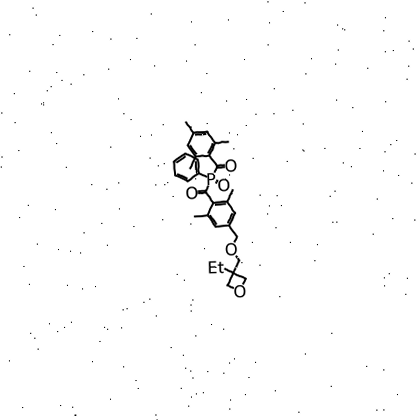 CCC1(COCc2cc(C)c(C(=O)P(=O)(C(=O)c3c(C)cc(C)cc3C)c3ccccc3)c(C)c2)COC1